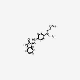 COCCN(C)c1ccc(NC=C2C(=O)Nc3ccccc32)cc1